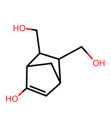 OCC1C2C=C(O)C(C2)C1CO